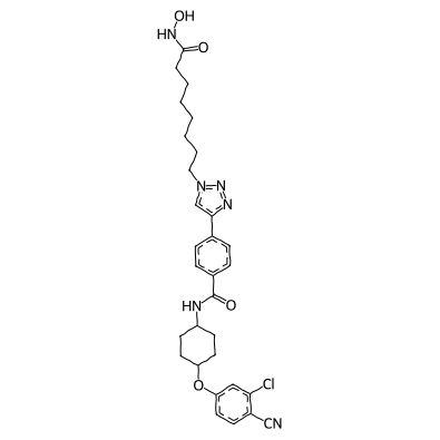 N#Cc1ccc(OC2CCC(NC(=O)c3ccc(-c4cn(CCCCCCCC(=O)NO)nn4)cc3)CC2)cc1Cl